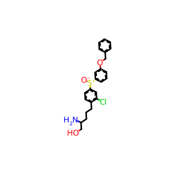 NC(CO)CCCc1ccc([S+]([O-])c2cccc(OCc3ccccc3)c2)cc1Cl